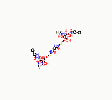 CC(=O)N[C@H]1[C@H]([C@H](O)[C@H](O)CNC(=O)c2ccc(-c3ccccc3)cc2)O[C@@](OCCCSCCNC(=O)c2cccc(C(=O)NCCSCCCO[C@]3(C(=O)O)C[C@H](O)[C@@H](NC(C)=O)[C@H]([C@H](O)[C@H](O)CNC(=O)c4ccc(-c5ccccc5)cc4)O3)c2)(C(=O)O)C[C@@H]1O